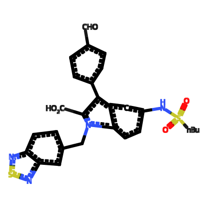 CCCCS(=O)(=O)Nc1ccc2c(c1)c(-c1ccc(C=O)cc1)c(C(=O)O)n2Cc1ccc2nsnc2c1